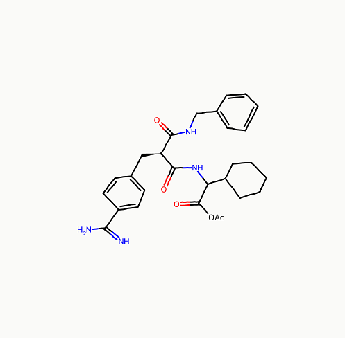 CC(=O)OC(=O)C(NC(=O)[C@@H](Cc1ccc(C(=N)N)cc1)C(=O)NCc1ccccc1)C1CCCCC1